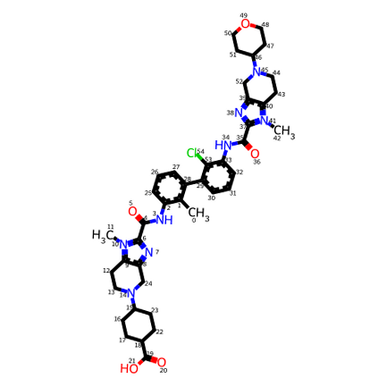 Cc1c(NC(=O)c2nc3c(n2C)CCN(C2CCC(C(=O)O)CC2)C3)cccc1-c1cccc(NC(=O)c2nc3c(n2C)CCN(C2CCOCC2)C3)c1Cl